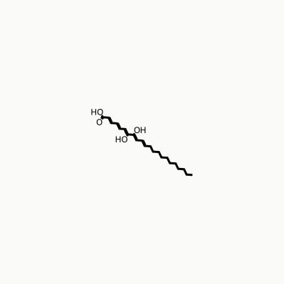 CCCCCCCCCCCC=CC=C(O)C(O)=CC=CC=CC(=O)O